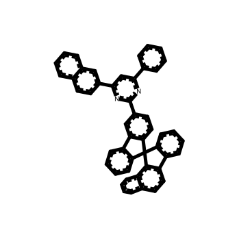 c1ccc(-c2cc(-c3ccc4ccccc4c3)nc(-c3ccc4c(c3)-c3ccccc3C43c4ccccc4-c4ccc5ccccc5c43)n2)cc1